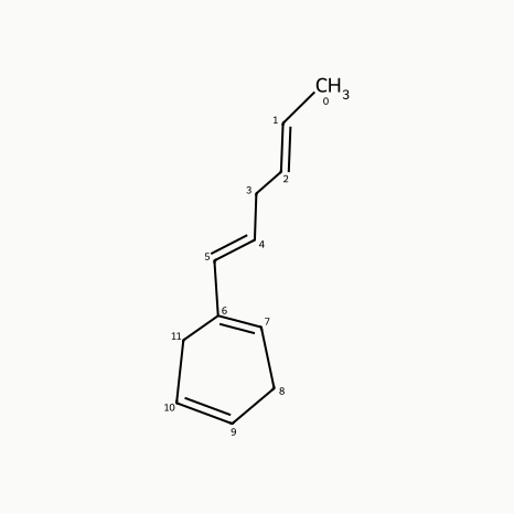 CC=CCC=CC1=CCC=CC1